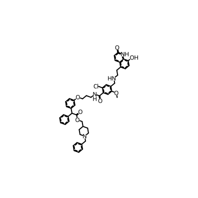 COc1cc(C(=O)NCCCOc2cccc(C(C(=O)OCC3CCN(Cc4ccccc4)CC3)c3ccccc3)c2)c(Cl)cc1CNCCc1ccc(O)c2[nH]c(=O)ccc12